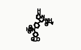 O=C(Nc1cc(-c2ccc(N(c3ccc4c(c3)OCCO4)[SH](=O)=O)cc2)c2cc[nH]c2n1)C1CC1